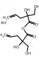 C=CCC(O)(CO)C(=O)OC(=O)C(O)(CO)CC=C.[KH]